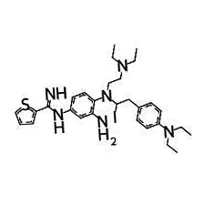 CCN(CC)CCN(c1ccc(NC(=N)c2cccs2)cc1N)C(I)Cc1ccc(N(CC)CC)cc1